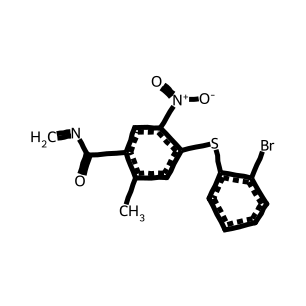 C=NC(=O)c1cc([N+](=O)[O-])c(Sc2ccccc2Br)cc1C